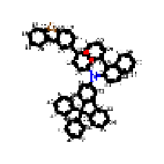 c1ccc(-c2c(N(c3ccc(-c4ccc5sc6ccccc6c5c4)cc3)c3ccc4c(c3)-c3ccccc3C4(c3ccccc3)c3ccccc3)ccc3ccccc23)cc1